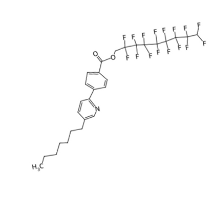 CCCCCCCc1ccc(-c2ccc(C(=O)OCC(F)(F)C(F)(F)C(F)(F)C(F)(F)C(F)(F)C(F)(F)C(F)(F)C(F)F)cc2)nc1